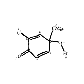 CCOC1(OC)C=CC(=O)C(Cl)=C1